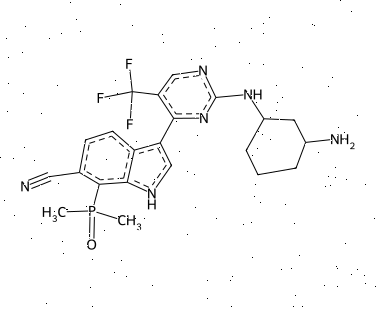 CP(C)(=O)c1c(C#N)ccc2c(-c3nc(NC4CCCC(N)C4)ncc3C(F)(F)F)c[nH]c12